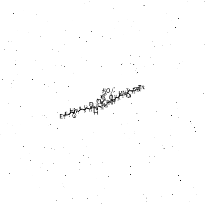 CCSCCC(=O)NCCCCCC(=O)NCCN(CCNC(=O)CCCCCNC(=O)CCSSCC)C(=O)COCC(=O)O